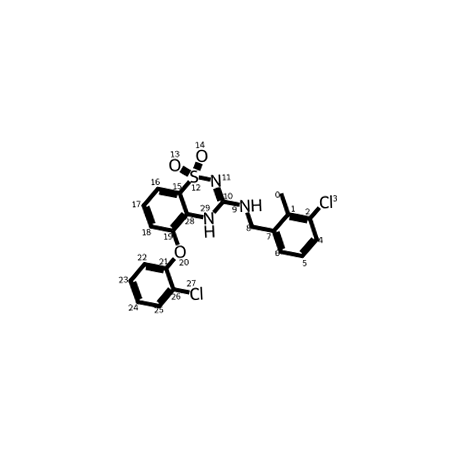 Cc1c(Cl)cccc1CNC1=NS(=O)(=O)c2cccc(Oc3ccccc3Cl)c2N1